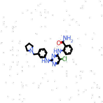 NC(=O)c1ccccc1Nc1nc(Nc2cccc(CN3CCCC3)c2)ncc1Cl